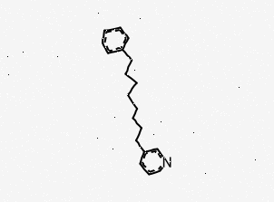 c1ccc(CCCCCCCCc2cccnc2)cc1